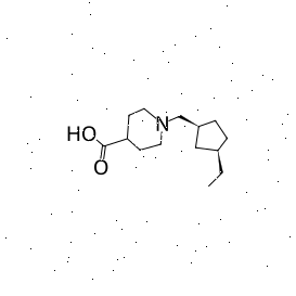 CC[C@@H]1CC[C@H](CN2CCC(C(=O)O)CC2)C1